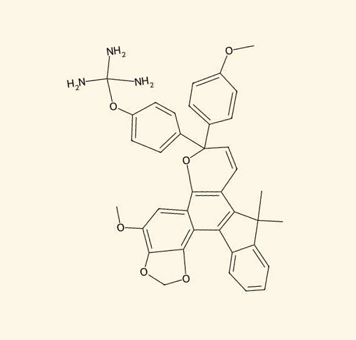 COc1ccc(C2(c3ccc(OC(N)(N)N)cc3)C=Cc3c4c(c5c6c(c(OC)cc5c3O2)OCO6)-c2ccccc2C4(C)C)cc1